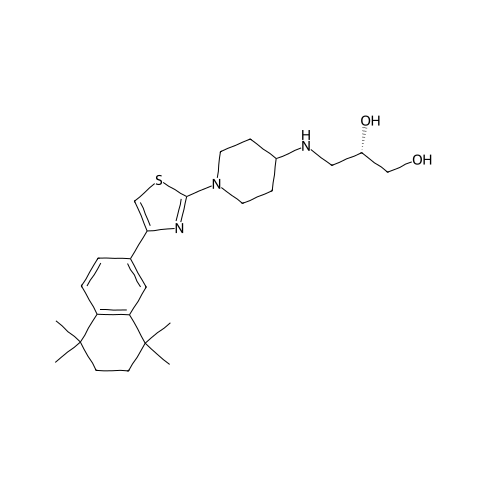 CC1(C)CCC(C)(C)c2cc(-c3csc(N4CCC(NC[C@H](O)CO)CC4)n3)ccc21